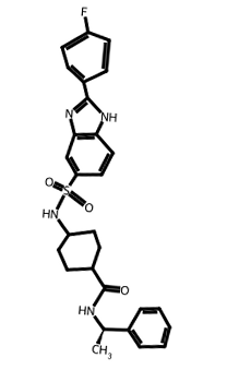 C[C@@H](NC(=O)C1CCC(NS(=O)(=O)c2ccc3[nH]c(-c4ccc(F)cc4)nc3c2)CC1)c1ccccc1